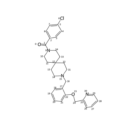 O=C(c1ccc(Cl)cc1)N1CCC2(CCN(Cc3ccccc3OCc3ccccn3)CC2)CC1